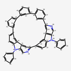 c1ccc(-n2c3ccc4cc3c3cc(ncc32)c2ccc3c(c2)c2cc(ncc2n3-c2ccccc2)c2cccc(c2)c2cccc(c2)c2cccc4c2)cc1